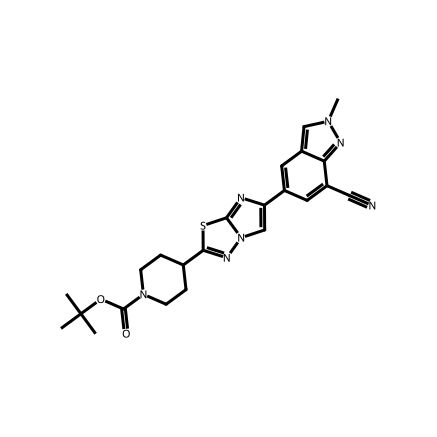 Cn1cc2cc(-c3cn4nc(C5CCN(C(=O)OC(C)(C)C)CC5)sc4n3)cc(C#N)c2n1